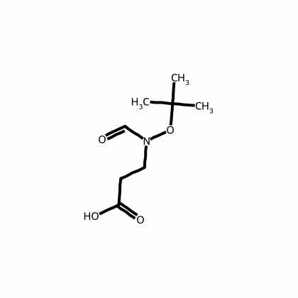 CC(C)(C)ON(C=O)CCC(=O)O